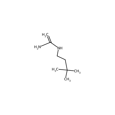 C=C(N)NCCC(C)(C)C